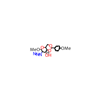 COc1ccc(C2OCC3O[C@H](OC)C(N=[N+]=[N-])[C@@H](O)[C@@H]3O2)cc1